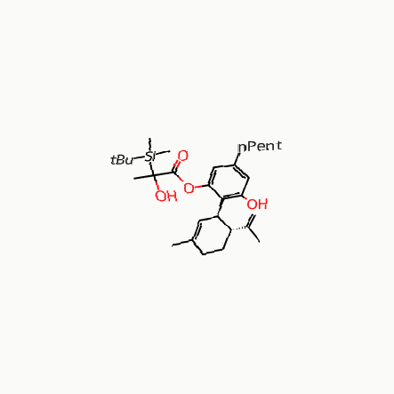 C=C(C)[C@@H]1CCC(C)=C[C@H]1c1c(O)cc(CCCCC)cc1OC(=O)C(C)(O)[Si](C)(C)C(C)(C)C